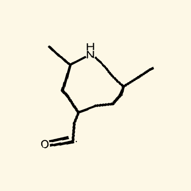 CC1CC([C]=O)CC(C)N1